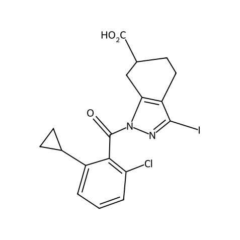 O=C(O)C1CCc2c(I)nn(C(=O)c3c(Cl)cccc3C3CC3)c2C1